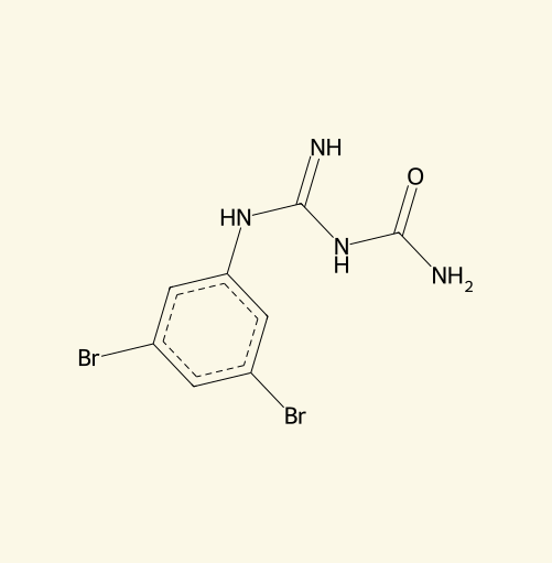 N=C(NC(N)=O)Nc1cc(Br)cc(Br)c1